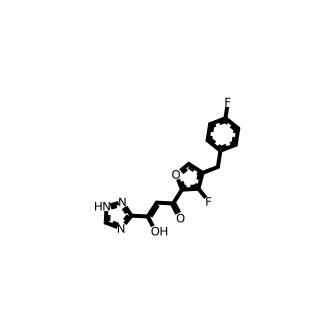 O=C(C=C(O)c1nc[nH]n1)c1occ(Cc2ccc(F)cc2)c1F